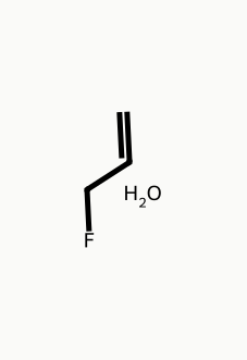 C=CCF.O